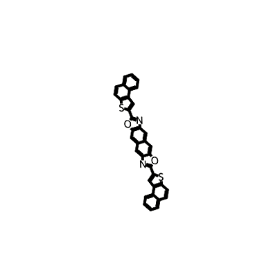 c1ccc2c(c1)ccc1sc(-c3nc4cc5cc6oc(-c7cc8c(ccc9ccccc98)s7)nc6cc5cc4o3)cc12